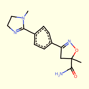 CN1CCN=C1c1ccc(C2=NOC(C)(C(N)=O)C2)cc1